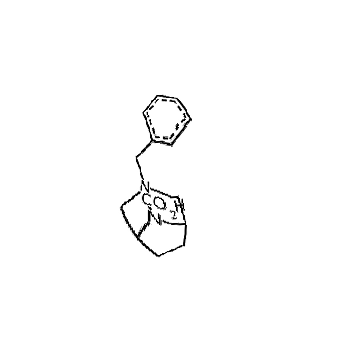 O=C(O)N1C2CCC1CN(Cc1ccccc1)C2